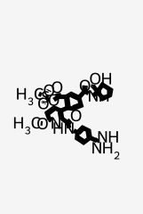 COc1ccc(-c2ccc(C(=O)NC3(CO)CCCC3)cc2C(=O)OS(C)(=O)=O)c(C(=O)Nc2ccc(C(=N)N)cc2)n1